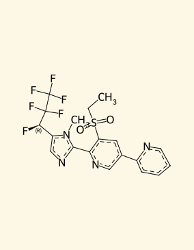 CCS(=O)(=O)c1cc(-c2ccccn2)cnc1-c1ncc([C@@H](F)C(F)(F)C(F)(F)F)n1C